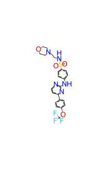 O=S(=O)(NCCN1CCOCC1)c1ccc(Nc2nccc(-c3ccc(OC(F)(F)F)cc3)n2)cc1